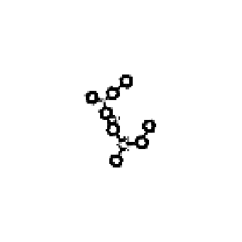 c1ccc(-c2ccc(N(c3ccccc3)c3ccc4c(c3)oc3cc(-c5nc(-c6ccccc6)nc(-c6cccc(-c7ccccc7)c6)n5)ccc34)cc2)cc1